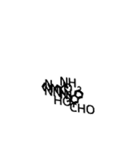 NC(=O)c1cn(-c2ncccn2)nc1/N=N/c1c(O)c(C=O)cc2ccccc12